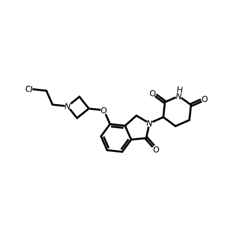 O=C1CCC(N2Cc3c(OC4CN(CCCl)C4)cccc3C2=O)C(=O)N1